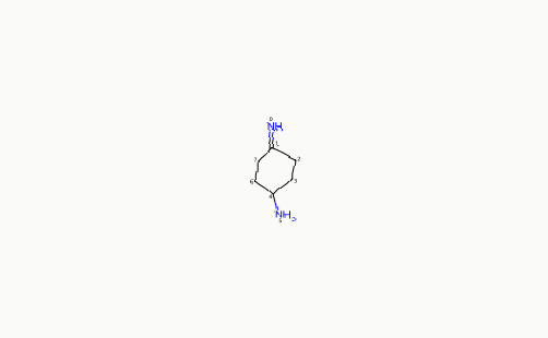 N=C1CCC(N)CC1